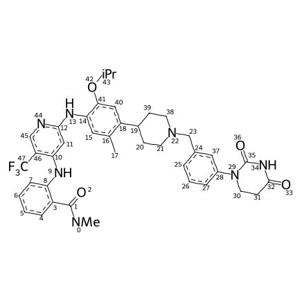 CNC(=O)c1ccccc1Nc1cc(Nc2cc(C)c(C3CCN(Cc4cccc(N5CCC(=O)NC5=O)c4)CC3)cc2OC(C)C)ncc1C(F)(F)F